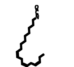 CC/C=C\C/C=C\C/C=C\CCCCCCCCN=C=O